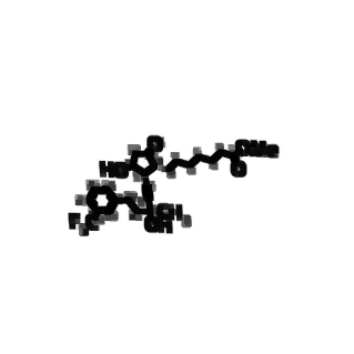 COC(=O)CCCCCC[C@H]1C(=O)C[C@H](O)[C@@H]1C#C[C@@](C)(O)CCc1cccc(C(F)(F)F)c1